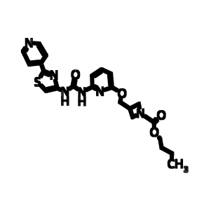 CCCCOC(=O)N1CC(COc2cccc(NC(=O)Nc3csc(-c4ccncc4)n3)n2)C1